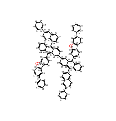 c1ccc(-c2ccc3cc(-c4c5ccccc5c(-c5ccc6c(c5)oc5cc(-c7ccccc7)ccc56)c5cc(-c6ccc7c(-c8cccc9cc(-c%10ccccc%10)ccc89)c8ccccc8c(-c8ccc9c(c8)oc8ccc(-c%10ccccc%10)cc89)c7c6)ccc45)ccc3c2)cc1